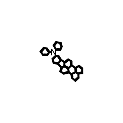 c1ccc(N(c2ccccc2)c2ccc3c(c2)-c2ccc4c5cccc6cccc(c7ccc-3c2c74)c65)cc1